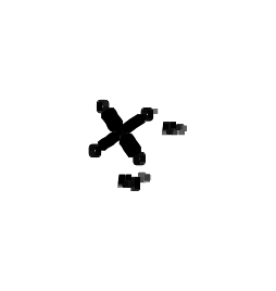 O=S(=O)([O-])[O-].[Mg+2].[Mn]